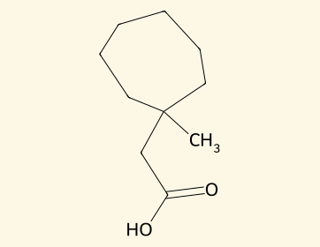 CC1(CC(=O)O)CCCCCC1